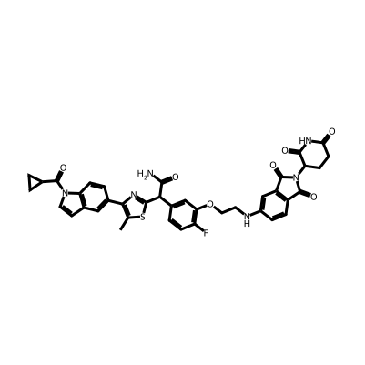 Cc1sc(C(C(N)=O)c2ccc(F)c(OCCNc3ccc4c(c3)C(=O)N(C3CCC(=O)NC3=O)C4=O)c2)nc1-c1ccc2c(ccn2C(=O)C2CC2)c1